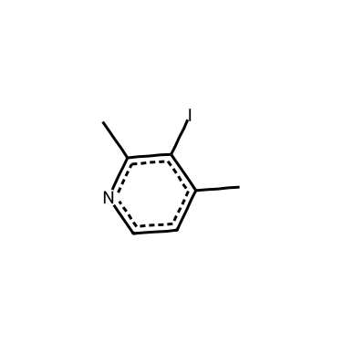 Cc1ccnc(C)c1I